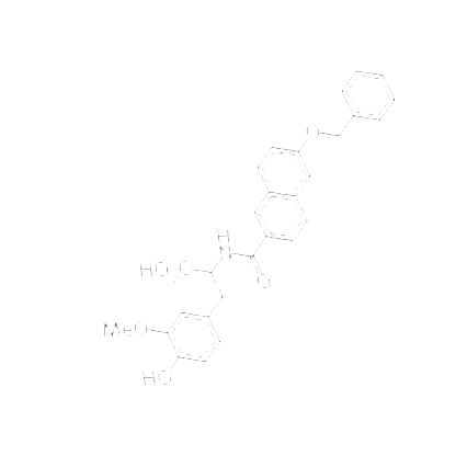 COc1cc(CC(NC(=O)c2ccc3cc(OCc4ccccc4)ccc3c2)C(=O)O)ccc1O